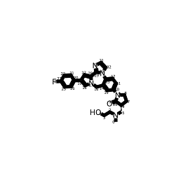 CN(CCO)C[C@H]1CCN(c2ccc3c(c2)Cn2cc(-c4ccc(F)cc4)cc2-c2nccn2-3)C1=O